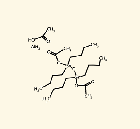 CC(=O)O.CCC[CH2][Sn]([CH2]CCC)([O]C(C)=O)[O][Sn]([CH2]CCC)([CH2]CCC)[O]C(C)=O.[AlH3]